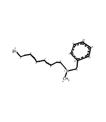 CC(C)CCCCCCN(C)Cc1ccccc1